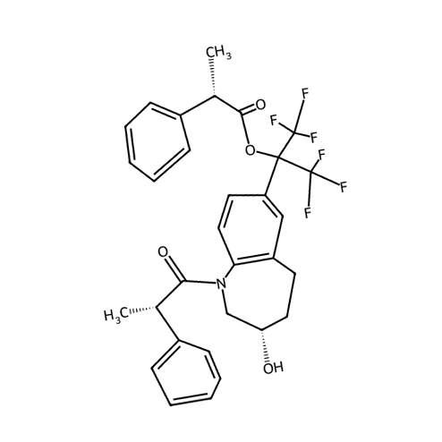 C[C@H](C(=O)OC(c1ccc2c(c1)CC[C@H](O)CN2C(=O)[C@@H](C)c1ccccc1)(C(F)(F)F)C(F)(F)F)c1ccccc1